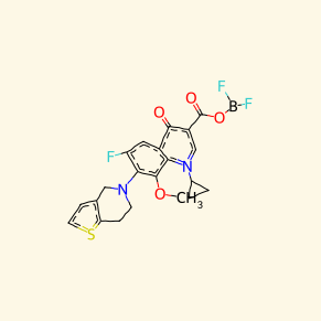 COc1c(N2CCc3sccc3C2)c(F)cc2c(=O)c(C(=O)OB(F)F)cn(C3CC3)c12